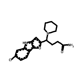 NC(=O)CCC(c1cc2[nH]c3cc(Cl)ccc3c2o1)N1CCCCC1